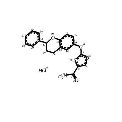 Cl.NC(=O)c1cnc(Oc2ccc3c(c2)CCC(c2ccccc2)O3)s1